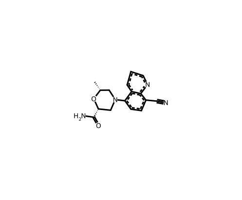 C[C@@H]1CN(c2ccc(C#N)c3ncccc23)C[C@H](C(N)=O)O1